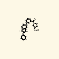 COC1CCN(C(=O)c2cccc(-c3cnc4[nH]c(-c5ccccc5)cc4c3)n2)C1